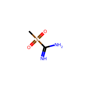 CS(=O)(=O)C(=N)N